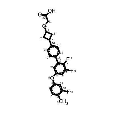 Cc1ccc(Oc2cc(F)c(F)c(-c3ccc(C4CC(OCC(=O)O)C4)cc3)c2)cc1F